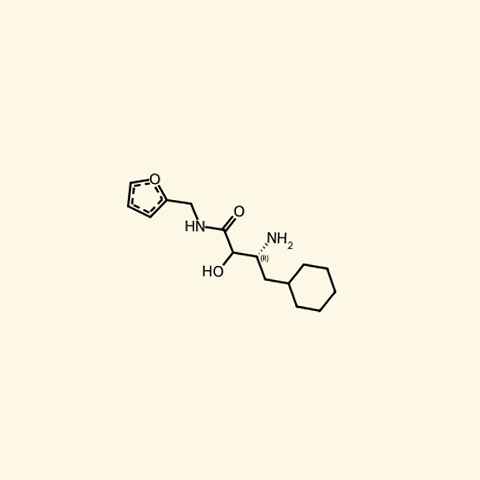 N[C@H](CC1CCCCC1)C(O)C(=O)NCc1ccco1